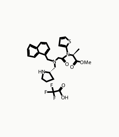 COC(=O)[C@H](C)N(C(=O)CN(Cc1cccc2ccccc12)C[C@@H]1CCCN1)c1cccs1.O=C(O)C(F)(F)F